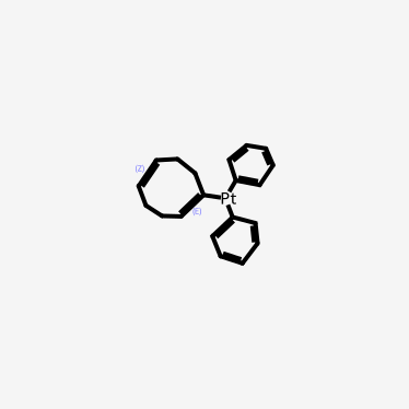 C1=C\CC/[C]([Pt]([c]2ccccc2)[c]2ccccc2)=C\CC/1